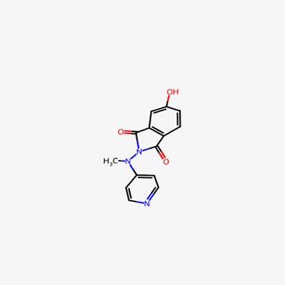 CN(c1ccncc1)N1C(=O)c2ccc(O)cc2C1=O